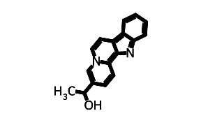 CC(O)c1ccc2c3nc4ccccc4c-3ccn2c1